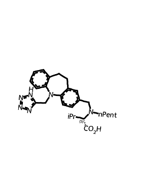 CCCCCN(Cc1ccc2c(c1)CCc1ccccc1N2Cc1nnn[nH]1)[C@H](C(=O)O)C(C)C